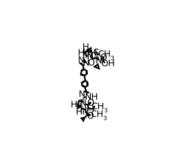 CC(C)[C@H](NC(=O)C1CC1)C(=O)N1[C@@H]2C[C@H]2C[C@H]1c1nc(-c2ccc(-c3ccc(-c4c[nH]c([C@@H]5C[C@H]6C[C@H]6N5C(=O)[C@H](C(C)C)N(C(=O)O)C5CC5)n4)cc3)cc2)c[nH]1